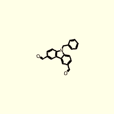 O=Cc1ccc2c(c1)c1cc(C=O)ccc1n2Cc1ccccc1